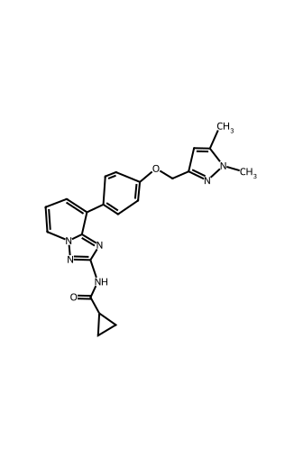 Cc1cc(COc2ccc(-c3cccn4nc(NC(=O)C5CC5)nc34)cc2)nn1C